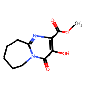 COC(=O)c1nc2n(c(=O)c1O)CCCCC2